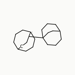 C1C[C]2CCCC(C1)CCC2C12CCCC(CCC1)CC2